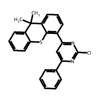 CC1(C)c2ccccc2Sc2c(-c3cc(-c4ccccc4)nc(Cl)n3)cccc21